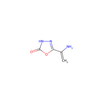 C=C(N)c1n[nH]c(=O)o1